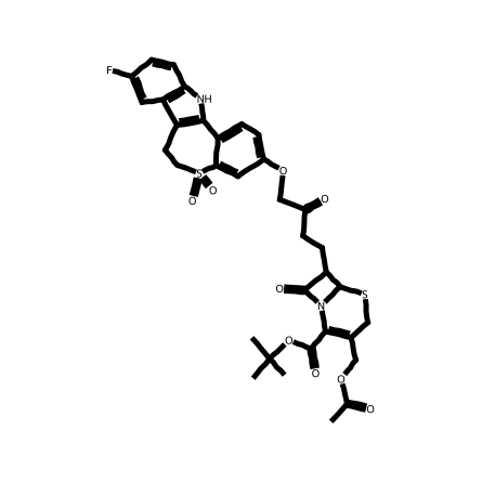 CC(=O)OCC1=C(C(=O)OC(C)(C)C)N2C(=O)C(CCC(=O)COc3ccc4c(c3)S(=O)(=O)CCc3c-4[nH]c4ccc(F)cc34)C2SC1